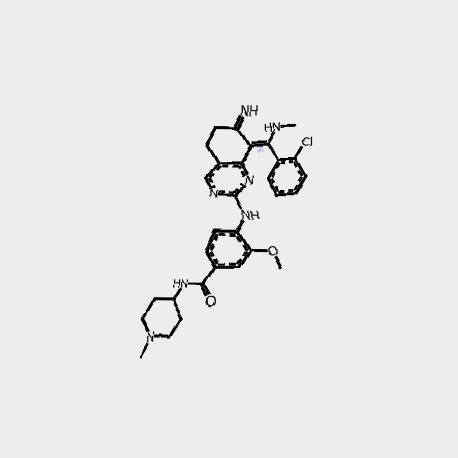 CN/C(=C1\C(=N)CCc2cnc(Nc3ccc(C(=O)NC4CCN(C)CC4)cc3OC)nc21)c1ccccc1Cl